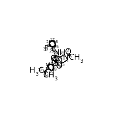 CC(=O)N1CCN(S(=O)(=O)c2ccc(C(C)C)cc2)C(C(=O)NCc2ccccc2F)C1